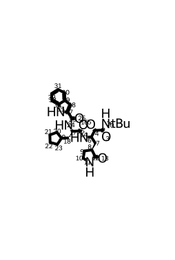 CC(C)(C)NC(=O)C(=O)C(C[C@@H]1CCNC1=O)NC(=O)[C@H](CC1CCCC1)NC(=O)c1cc2ccccc2[nH]1